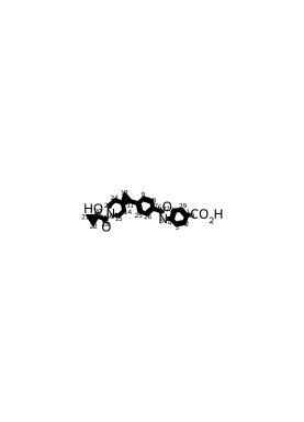 O=C(O)c1ccc2nc(-c3ccc(C4CC45CCN(C(=O)C4(O)CC4)CC5)cc3)oc2c1